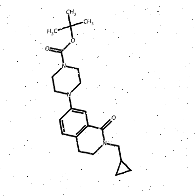 CC(C)(C)OC(=O)N1CCN(c2ccc3c(c2)C(=O)N(CC2CC2)CC3)CC1